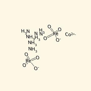 N.N.N.N.N.N.[Co+2].[O]=[Re](=[O])(=[O])[O-].[O]=[Re](=[O])(=[O])[O-]